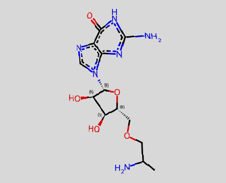 CC(N)COC[C@H]1O[C@@H](n2cnc3c(=O)[nH]c(N)nc32)[C@H](O)[C@@H]1O